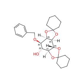 O[C@@H]1[C@@H](OCc2ccccc2)[C@H]2OC3(CCCCC3)O[C@H]2[C@@H]2OC3(CCCCC3)O[C@@H]12